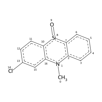 Cn1c2ccccc2[si](=O)c2ccc(Cl)cc21